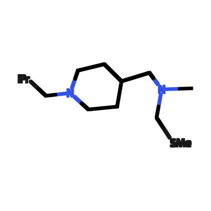 CSCN(C)CC1CCN(CC(C)C)CC1